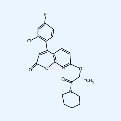 C[C@@H](Oc1ccc2c(-c3ccc(F)cc3Cl)cc(=O)oc2n1)C(=O)N1CCCCC1